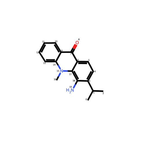 CC(C)c1ccc2c(=O)c3ccccc3n(C)c2c1N